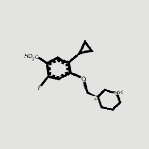 O=C(O)c1cc(C2CC2)c(OC[C@@H]2CCCNC2)cc1F